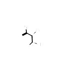 C[C@@H](O)[C@H](Br)C(N)=O